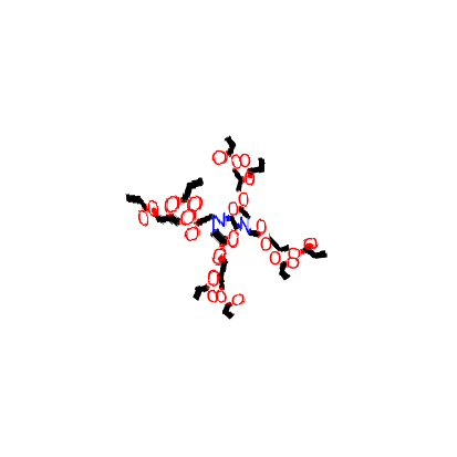 C=CC(=O)OCC(COC(=O)CN(CCN(CC(=O)OCC(COC(=O)C=C)OC(=O)C=C)CC(=O)OCC(COC(=O)C=C)OC(=O)C=C)CC(=O)OCC(COC(=O)C=C)OC(=O)C=C)OC(=O)C=C